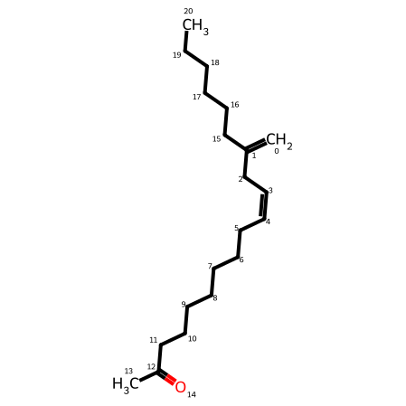 C=C(C/C=C\CCCCCCCC(C)=O)CCCCCC